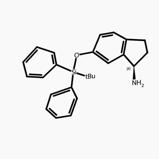 CC(C)(C)[Si](Oc1ccc2c(c1)[C@H](N)CC2)(c1ccccc1)c1ccccc1